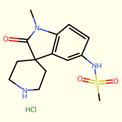 CN1C(=O)C2(CCNCC2)c2cc(NS(C)(=O)=O)ccc21.Cl